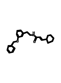 O=C(C=CC1CCCCC1)NCCc1cccc(OCc2ccccc2)c1